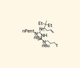 C=CC/C(=N\C(NC(=C)N(CCCC)CCCI)N(CCCC)CCCCC)C(C)(CC)CC